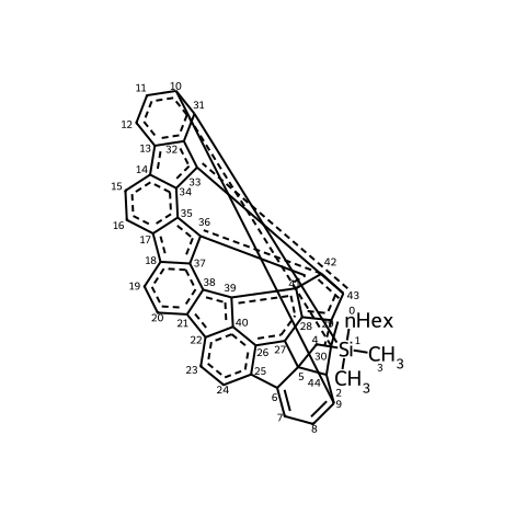 CCCCCC[Si](C)(C)CC12C3=CC=C4c5ccc6c7ccc8c9ccc%10c%11ccc3c3c1c1c%12c(c5c6c5c7c8c6c9c%10c(c3%11)c1c6c%125)C42